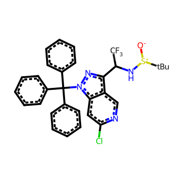 CC(C)(C)[S+]([O-])NC(c1nn(C(c2ccccc2)(c2ccccc2)c2ccccc2)c2cc(Cl)ncc12)C(F)(F)F